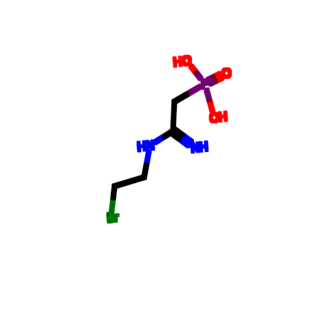 N=C(CP(=O)(O)O)NCCBr